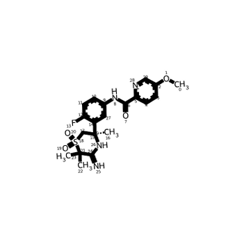 COc1ccc(C(=O)Nc2ccc(F)c([C@]3(C)CS(=O)(=O)C(C)(C)C(=N)N3)c2)nc1